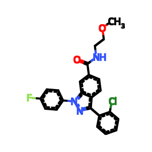 COCCNC(=O)c1ccc2c(-c3ccccc3Cl)nn(-c3ccc(F)cc3)c2c1